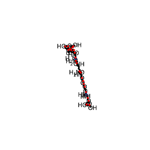 CNN/C(=C\NCCOC1CC(O)CC(CO)O1)COCCOCCOCCOCCNC(=O)C(N)CCCCNC(=O)CN(N)/C=C(\N)CNC(=O)c1ccc2c(c1)C(=O)OC21c2ccc(O)cc2Oc2cc(O)ccc21